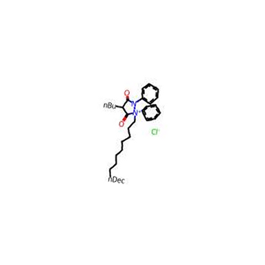 CCCCCCCCCCCCCCCCCC[N+]1(c2ccccc2)C(=O)C(CCCC)C(=O)N1c1ccccc1.[Cl-]